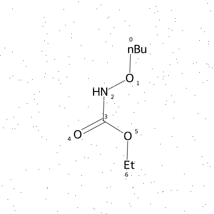 CCCCONC(=O)OCC